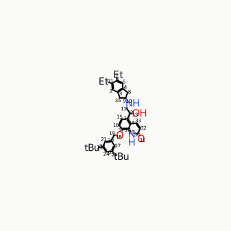 CCc1cc2c(cc1CC)CC(NCC(O)c1ccc(OCc3cc(C(C)(C)C)cc(C(C)(C)C)c3)c3[nH]c(=O)ccc13)C2